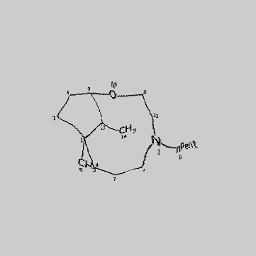 CCCCCN1CCCC2(C)CCC(OCC1)C2C